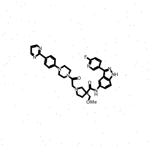 COC[C@@]1(C(=O)Nc2ccc3[nH]nc(-c4ccc(F)nc4)c3c2)CCN(CC(=O)N2CCN(c3ccc(-c4ncccn4)cc3)CC2)C1